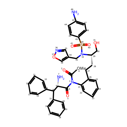 COC(=O)N(C(=O)[C@@H](N)C(c1ccccc1)c1ccccc1)c1ccccc1CC[C@@H](CO)N(Cc1cnoc1)S(=O)(=O)c1ccc(N)cc1